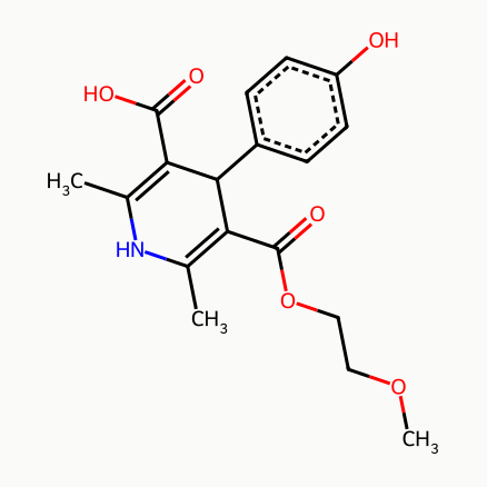 COCCOC(=O)C1=C(C)NC(C)=C(C(=O)O)C1c1ccc(O)cc1